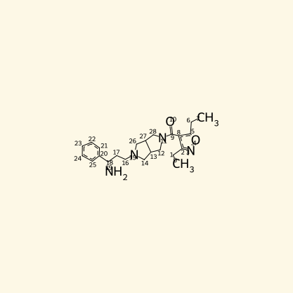 CCc1noc(CC)c1C(=O)N1CC2CN(CC[C@H](N)c3ccccc3)CC2C1